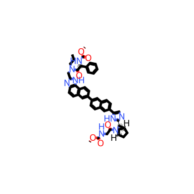 CCCN(Cc1nc2ccc3cc(-c4ccc5cc(-c6cnc([C@@H]7[C@H]8CC[C@H](C8)N7C(=O)CNC(=O)OC)[nH]6)ccc5c4)ccc3c2[nH]1)C(=O)[C@H](NC(=O)OC)c1ccccc1